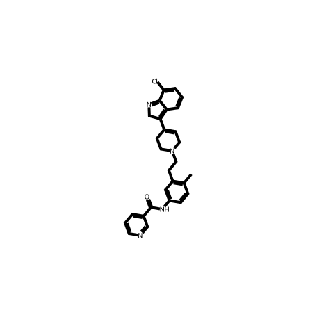 Cc1ccc(NC(=O)c2cccnc2)cc1CCN1CC=C(C2=c3cccc(Cl)c3=NC2)CC1